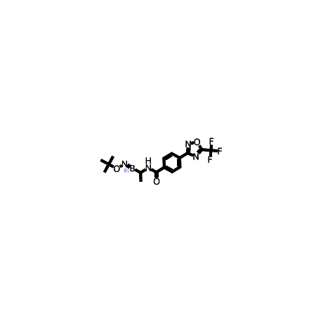 CC(/B=N/OC(C)(C)C)NC(=O)c1ccc(-c2noc(C(F)(F)F)n2)cc1